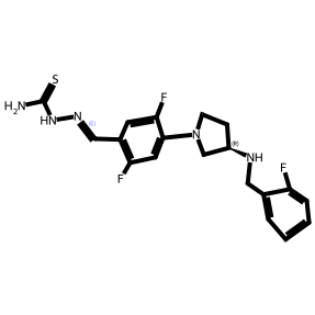 NC(=S)N/N=C/c1cc(F)c(N2CC[C@@H](NCc3ccccc3F)C2)cc1F